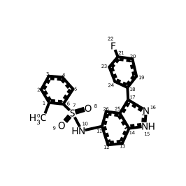 Cc1ccccc1S(=O)(=O)Nc1ccc2[nH]nc(-c3ccc(F)cc3)c2c1